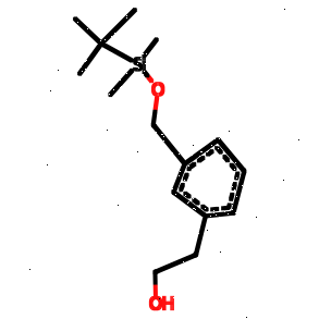 CC(C)(C)[Si](C)(C)OCc1cccc(CCO)c1